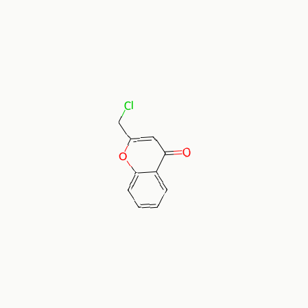 O=c1cc(CCl)oc2ccccc12